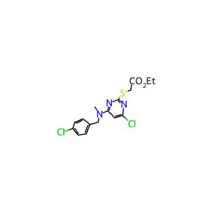 CCOC(=O)CSc1nc(Cl)cc(N(C)Cc2ccc(Cl)cc2)n1